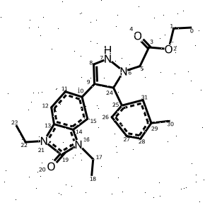 CCOC(=O)CN1NC=C(c2ccc3c(c2)n(CC)c(=O)n3CC)C1c1cccc(C)c1